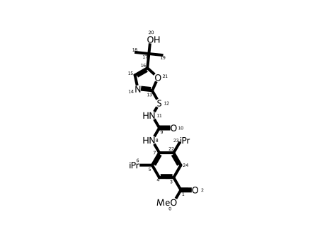 COC(=O)c1cc(C(C)C)c(NC(=O)NSc2ncc(C(C)(C)O)o2)c(C(C)C)c1